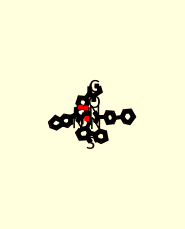 c1ccc(-c2ccc(-c3nc(-c4cccc5c4oc4ccccc45)nc(-c4c(-n5c6ccccc6c6cc7ccccc7cc65)ccc5sc6ccccc6c45)n3)cc2)cc1